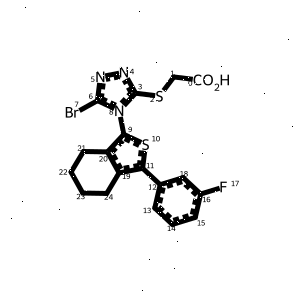 O=C(O)CSc1nnc(Br)n1-c1sc(-c2cccc(F)c2)c2c1CCCC2